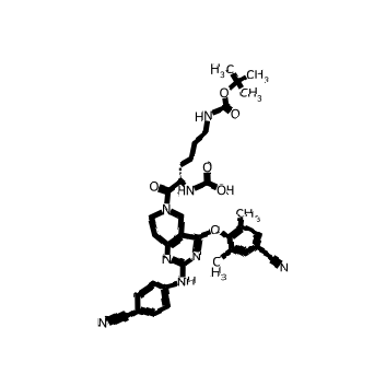 Cc1cc(C#N)cc(C)c1Oc1nc(Nc2ccc(C#N)cc2)nc2c1CN(C(=O)[C@H](CCCCNC(=O)OC(C)(C)C)NC(=O)O)CC2